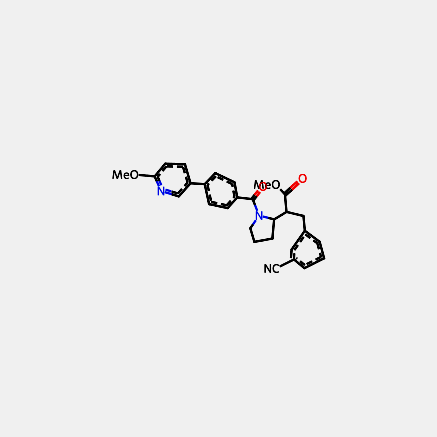 COC(=O)C(Cc1cccc(C#N)c1)C1CCCN1C(=O)c1ccc(-c2ccc(OC)nc2)cc1